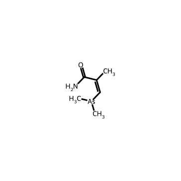 CC(=C[As](C)C)C(N)=O